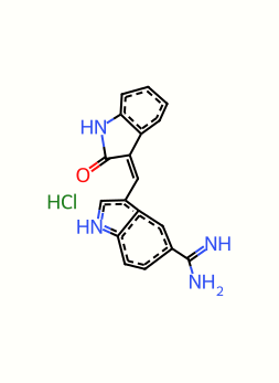 Cl.N=C(N)c1ccc2[nH]cc(C=C3C(=O)Nc4ccccc43)c2c1